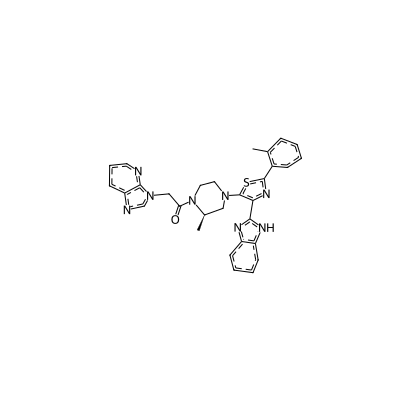 Cc1ccccc1-c1nc(-c2nc3ccccc3[nH]2)c(N2CCN(C(=O)Cn3cnc4cccnc43)[C@H](C)C2)s1